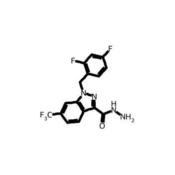 NNC(=O)c1nn(Cc2ccc(F)cc2F)c2cc(C(F)(F)F)ccc12